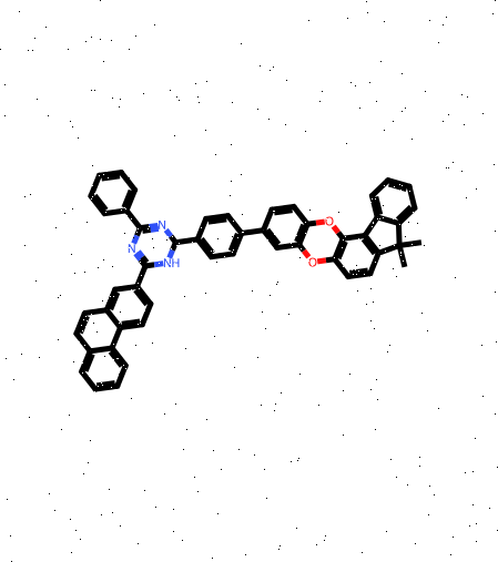 CC1(C)c2ccccc2-c2c1ccc1c2Oc2ccc(-c3ccc(C4N=C(c5ccccc5)N=C(c5ccc6c(ccc7ccccc76)c5)N4)cc3)cc2O1